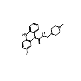 C=C(NCN1CCN(C)CC1)N1c2ccccc2Nc2ccc(F)cc21